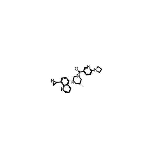 C[C@@H]1C[C@H](c2ccc(C3C=N3)c3ncccc23)CN(C(=O)c2ccc(N3CCC3)nc2)C1